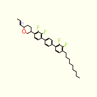 C/C=C/C1CCC(c2ccc(-c3ccc(-c4ccc(CCCCCCCCC)c(F)c4F)cc3)c(F)c2F)CO1